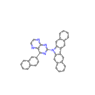 c1ccc2cc(-c3nc(-n4c5cc6ccccc6cc5c5cc6ccccc6cc54)nc4nccnc34)ccc2c1